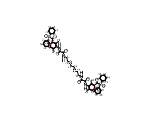 Cc1cc(C)c(C(=O)P(=O)(c2ccccc2)c2ccccc2)c(C)c1NC(=O)C(=O)NCCOCCOCCNC(=O)C(=O)Nc1c(C)cc(C)c(C(=O)P(=O)(c2ccccc2)c2ccccc2)c1C